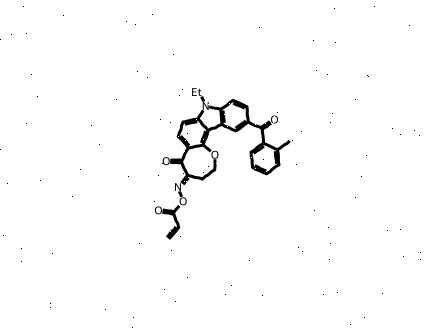 C=CC(=O)O/N=C1\CCOc2c(ccc3c2c2cc(C(=O)c4ccccc4C)ccc2n3CC)C1=O